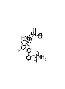 CC(C)(CC(=O)N[C@@H]1CSc2cc(F)ccc2N(Cc2ccc(-c3ccccc3CNC(N)=O)cc2)C1=O)NCc1ccco1